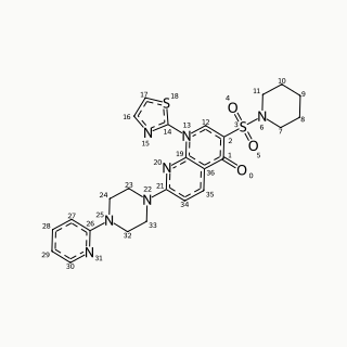 O=c1c(S(=O)(=O)N2CCCCC2)cn(-c2nccs2)c2nc(N3CCN(c4ccccn4)CC3)ccc12